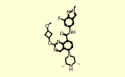 COC1CC(Oc2ncc3c(N4C[C@@H](C)N[C@@H](C)C4)ccc(C(=O)Nc4cc(F)c5nn(C)cc5c4)c3n2)C1